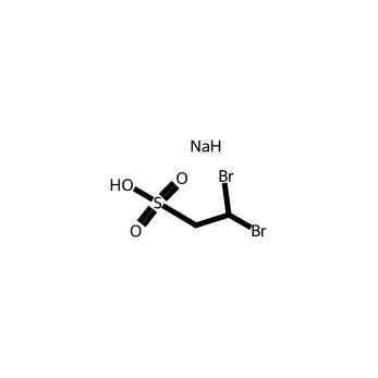 O=S(=O)(O)CC(Br)Br.[NaH]